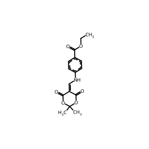 CCOC(=O)c1ccc(NC=C2C(=O)OC(C)(C)OC2=O)cc1